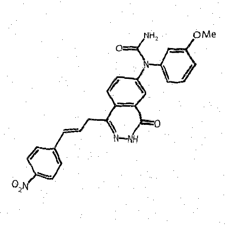 COc1cccc(N(C(N)=O)c2ccc3c(CC=Cc4ccc([N+](=O)[O-])cc4)n[nH]c(=O)c3c2)c1